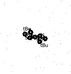 CC(C)(C)c1ccc2c(c1)B1c3ccccc3Sc3ccc4c5cc6c(cc5n-2c4c31)c1ccc2c3c1n6-c1ccc(C(C)(C)C)cc1B3c1ccccc1S2